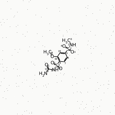 CNS(=O)(=O)c1ccc(S(=O)(=O)NC(N)=O)c(OC)c1